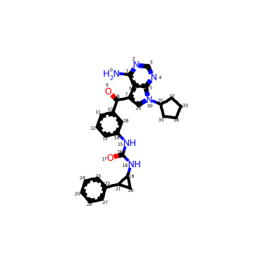 Nc1ncnc2c1c(C(=O)c1cccc(NC(=O)NC3CC3c3ccccc3)c1)cn2C1CCCC1